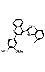 COc1ccc(-c2cc(C(=O)Nc3c(C)cccc3C(C)C)c3ccccc3n2)cc1OC